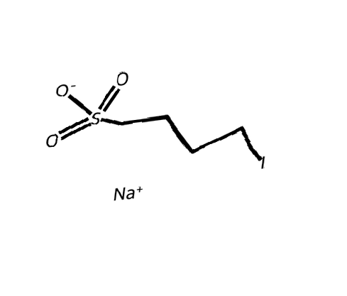 O=S(=O)([O-])CCCCI.[Na+]